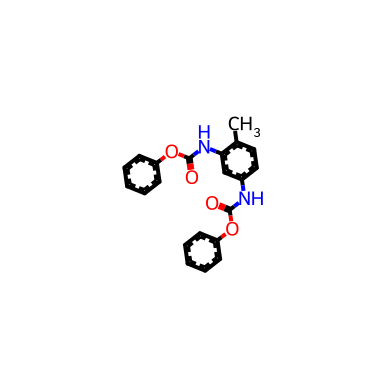 Cc1ccc(NC(=O)Oc2ccccc2)cc1NC(=O)Oc1ccccc1